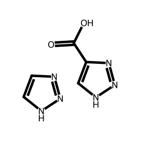 O=C(O)c1c[nH]nn1.c1c[nH]nn1